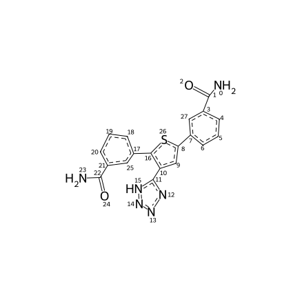 NC(=O)c1cccc(-c2cc(-c3nnn[nH]3)c(-c3cccc(C(N)=O)c3)s2)c1